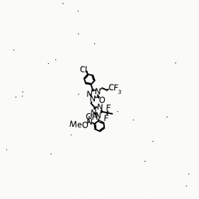 CON(O)c1ccccc1-n1nc(Cn2nc(-c3ccc(Cl)cc3)n(CCC(F)(F)F)c2=O)nc1C(C)(F)F